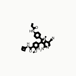 C=CC(=O)Nc1ccc(-c2c(-c3ccc(C(=O)NC45CC(C4)C5)c(OC)c3)c3c(N)ncc(C#N)c3n2C)cc1